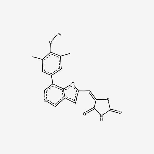 Cc1cc(-c2cncc3cc(C=C4SC(=O)NC4=O)oc23)cc(C)c1OC(C)C